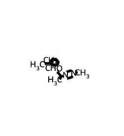 CC(COc1cccc(C(C)(C)C)c1)N1CCN(C)CC1